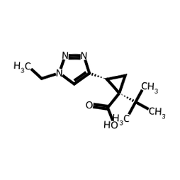 CCn1cc([C@@H]2C[C@]2(C(=O)O)C(C)(C)C)nn1